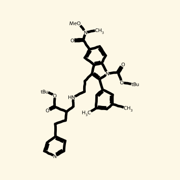 CON(C)C(=O)c1ccc2c(c1)c(CCNCC(CCc1ccncc1)C(=O)OC(C)(C)C)c(-c1cc(C)cc(C)c1)n2C(=O)OC(C)(C)C